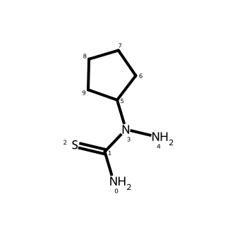 NC(=S)N(N)C1CCCC1